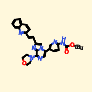 CC(C)(C)OC(=O)Nc1ccc(-c2cnc(N3CCOCC3)c3nc(/C=C/c4ccc5ccccc5n4)cn23)cn1